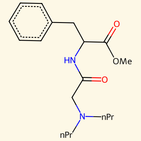 CCCN(CCC)CC(=O)NC(Cc1ccccc1)C(=O)OC